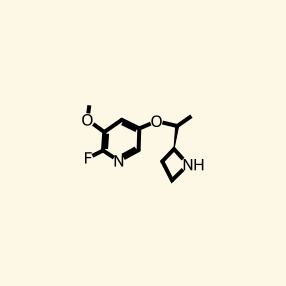 COc1cc(OC(C)[C@@H]2CCN2)cnc1F